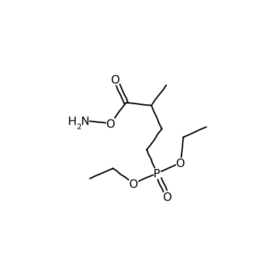 CCOP(=O)(CCC(C)C(=O)ON)OCC